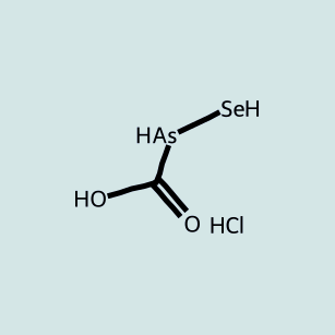 Cl.O=C(O)[AsH][SeH]